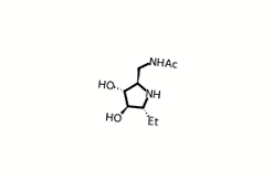 CC[C@H]1N[C@H](CNC(C)=O)[C@@H](O)[C@@H]1O